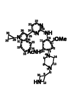 COc1cc(N2CCN(CC3CNC3)CC2)c(NC(C)=O)cc1Nc1nccc(-c2cn(C3CC3)c3ccccc23)n1